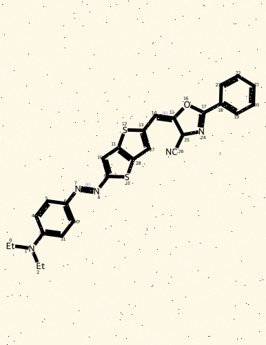 CCN(CC)c1ccc(/N=N/c2cc3sc(/C=C4/OC(c5ccccc5)=NC4C#N)cc3s2)cc1